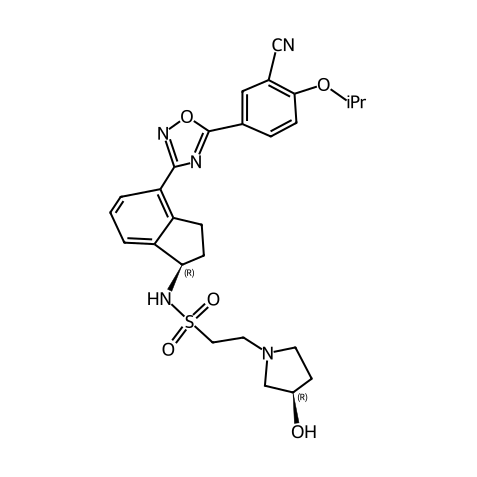 CC(C)Oc1ccc(-c2nc(-c3cccc4c3CC[C@H]4NS(=O)(=O)CCN3CC[C@@H](O)C3)no2)cc1C#N